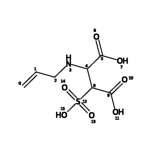 C=CCNC(C(=O)O)C(C(=O)O)S(=O)(=O)O